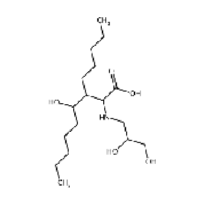 CCCCCC(O)C(CCCCC)C(NCC(O)CO)C(=O)O